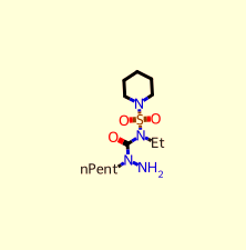 CCCCCN(N)C(=O)N(CC)S(=O)(=O)N1CCCCC1